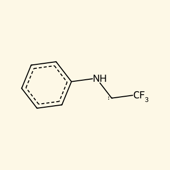 FC(F)(F)[C]Nc1ccccc1